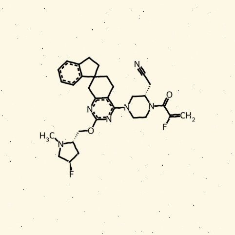 C=C(F)C(=O)N1CCN(c2nc(OC[C@@H]3C[C@@H](F)CN3C)nc3c2CCC2(CCc4ccccc42)C3)C[C@@H]1CC#N